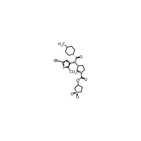 CC(C)(C)c1cc(N(C(=O)[C@H]2CC[C@H](C)CC2)[C@H]2CCN(C(=O)OC3CCS(=O)(=O)C3)C2)c(C(=O)O)s1